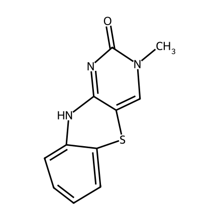 Cn1cc2c(nc1=O)Nc1ccccc1S2